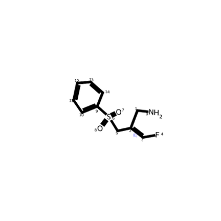 NC/C(=C\F)CS(=O)(=O)c1ccccc1